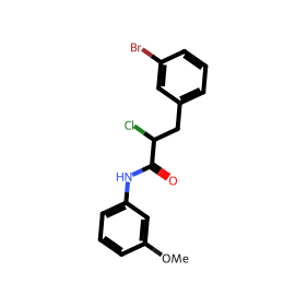 COc1cccc(NC(=O)C(Cl)Cc2cccc(Br)c2)c1